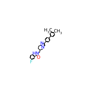 Cc1ccc(-c2ccc(-c3cn4c(n3)CCC(CNC(=O)c3cccc(F)c3)C4)cc2)cc1C